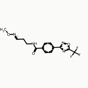 CO/N=C/CCNC(=O)c1ccc(-c2noc(C(F)(F)F)n2)cc1